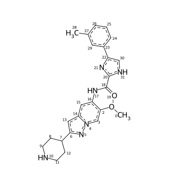 COc1cn2nc(C3CCNCC3)cc2cc1NC(=O)c1nc(-c2cccc(C)c2)c[nH]1